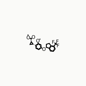 COC(=O)[C@@H]1C[C@H]1c1ccc(O[C@@H]2CCc3c2cccc3C(F)(F)F)cc1OC